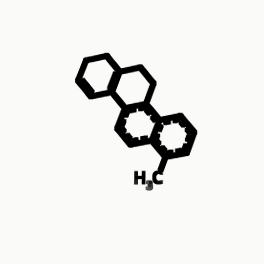 Cc1cccc2c3c(ccc12)C1=C(CCC=C1)CC3